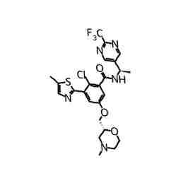 Cc1cnc(-c2cc(OC[C@H]3CN(C)CCO3)cc(C(=O)N[C@H](C)c3cnc(C(F)(F)F)nc3)c2Cl)s1